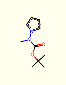 CN(C(=O)OC(C)(C)C)n1cccc1